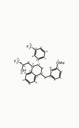 COc1cccc(CN2C[C@@H](c3cccc(C(F)(F)F)c3)N(C[C@@H](O)C(F)(F)F)c3ccccc32)n1